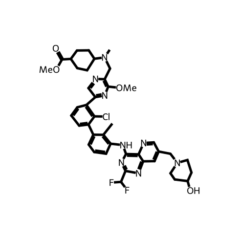 COC(=O)C1CCC(N(C)Cc2ncc(-c3cccc(-c4cccc(Nc5nc(C(F)F)nc6cc(CN7CCC(O)CC7)cnc56)c4C)c3Cl)nc2OC)CC1